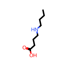 CCCCNCCCC(=O)O